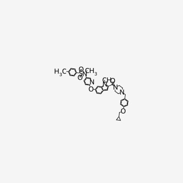 Cc1ccc(S(=O)(=O)N(C)c2ccc(Oc3ccc4cc(C(=O)N5CCN(Cc6ccc(OCC7CC7)cc6)CC5)n(C)c4c3)nc2)cc1